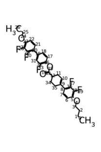 CCCCOc1ccc(C2=CCC(C(=O)Oc3ccc(-c4ccc(OCC)c(F)c4F)cc3F)CC2)c(F)c1F